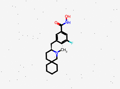 CN1CC2(CCCCC2)CC[C@H]1Cc1cc(F)cc(C(=O)NO)c1